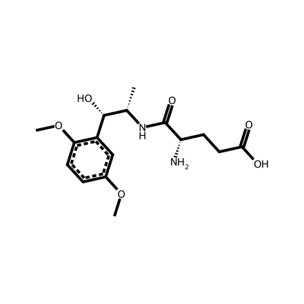 COc1ccc(OC)c([C@H](O)[C@H](C)NC(=O)[C@@H](N)CCC(=O)O)c1